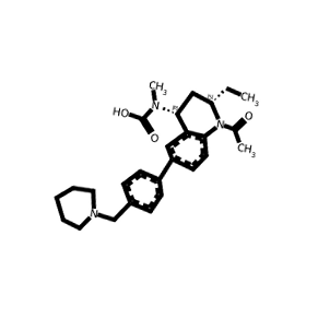 CC[C@H]1C[C@@H](N(C)C(=O)O)c2cc(-c3ccc(CN4CCCCC4)cc3)ccc2N1C(C)=O